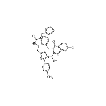 Cc1ccc(-c2nc(CCNC(=O)OCc3ccccc3)cn2C(c2oc3cc(Cl)ccc3c(=O)c2Cc2ccccc2)C(C)C)cc1